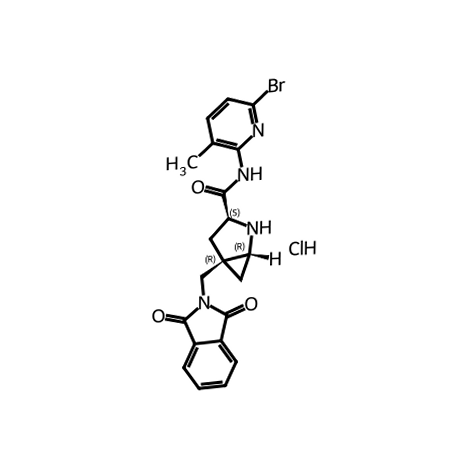 Cc1ccc(Br)nc1NC(=O)[C@@H]1C[C@@]2(CN3C(=O)c4ccccc4C3=O)C[C@H]2N1.Cl